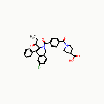 CCC(=O)C1=C(c2ccccc2)c2cc(Br)ccc2CN1C(=O)c1ccc(C(=O)N2CCC(C(=O)O)CC2)cc1